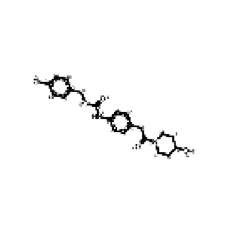 O=C(Nc1ccc(CC(=O)N2CCC(O)CC2)cc1)OCc1ccc(Cl)cc1